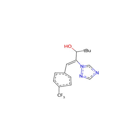 CC(C)(C)C(O)C(=Cc1ccc(C(F)(F)F)cc1)n1cncn1